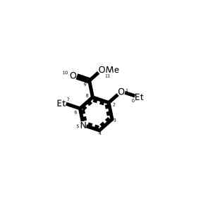 CCOc1ccnc(CC)c1C(=O)OC